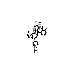 Cc1cccc2c1nc(C(F)(F)F)c1nc(-c3nccs3)n(CCC3CCNCC3)c12